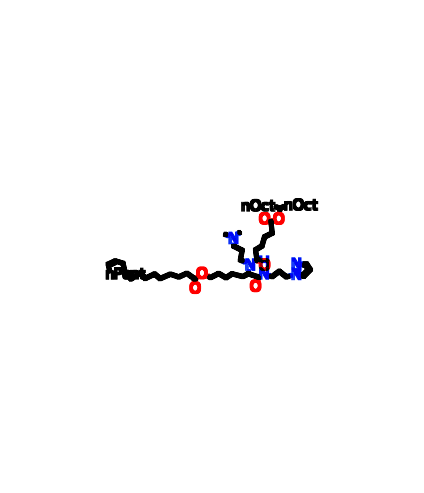 CCCCC/C=C\C/C=C\CCCCCCCC(=O)OCCCCCC(C(=O)NCCCn1cccn1)N(CCCN(C)C)C(=O)CCCCC(=O)OC(CCCCCCCC)CCCCCCCC